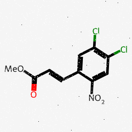 COC(=O)/C=C/c1cc(Cl)c(Cl)cc1[N+](=O)[O-]